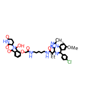 CC[C@@H](C(=O)NCCCCCNC(=O)COc1cccc2c1C(O)N(C1CCC(=O)NC1=O)C2=O)[C@@H]1N=C(c2ccc(Cl)cc2)c2cc(OC)ccc2-n2c(C)nnc21